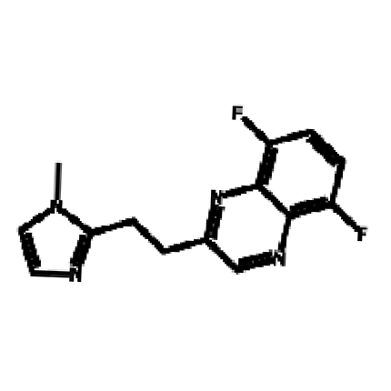 Cn1ccnc1CCc1cnc2c(F)ccc(F)c2n1